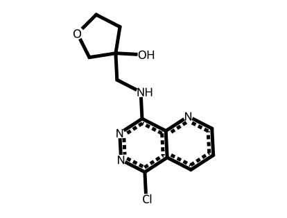 OC1(CNc2nnc(Cl)c3cccnc23)CCOC1